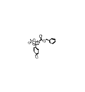 CS(=O)(=O)OC1(c2ccc(Cl)cc2)CN(C(=O)OCc2ccccc2)C1